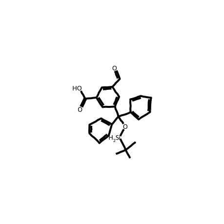 CC(C)(C)[SiH2]OC(c1ccccc1)(c1ccccc1)c1cc(C=O)cc(C(=O)O)c1